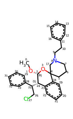 CO[C@@H]1OC2(CCCN(CCc3ccccc3)C2)c2ccccc2[C@@H]1C(CCl)c1ccccc1